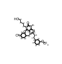 Cn1c(=O)n(CCCCO)c(=O)c2c1nc(CCc1cccc(OC(F)(F)F)c1)n2Cc1ccc(Cl)cc1